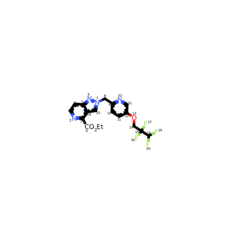 CCOC(=O)c1nccc2nn(Cc3ccc(OCC(F)(F)C(F)F)cn3)cc12